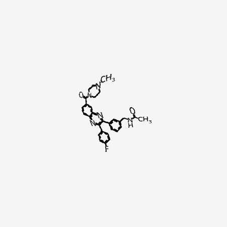 CC(=O)NCc1cccc(-c2nc3cc(C(=O)N4CCN(C)CC4)ccc3nc2-c2ccc(F)cc2)c1